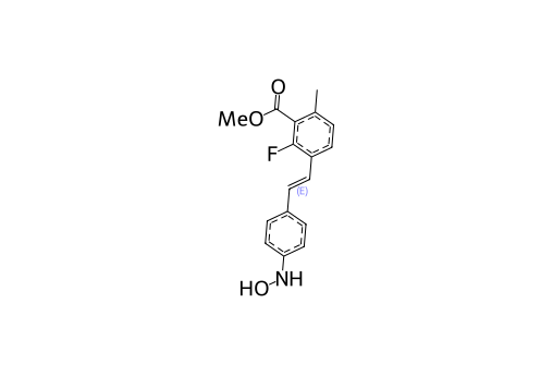 COC(=O)c1c(C)ccc(/C=C/c2ccc(NO)cc2)c1F